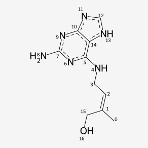 CC(=CCNc1nc(N)nc2nc[nH]c12)CO